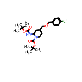 CC(C)(C)OC(=O)NC1CC(COCc2ccc(Cl)cc2)CCN1C(=O)OC(C)(C)C